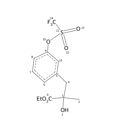 CCOC(=O)C(C)(O)Cc1cccc(OS(=O)(=O)C(F)(F)F)c1